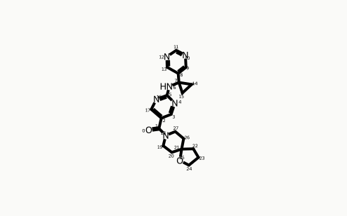 O=C(c1cnc(NC2(c3cncnc3)CC2)nc1)N1CCC2(CCCO2)CC1